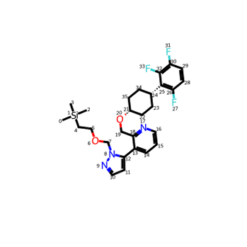 C[Si](C)(C)CCOCn1nccc1-c1cccnc1CO[C@H]1CC[C@@H](c2c(F)ccc(F)c2F)CC1